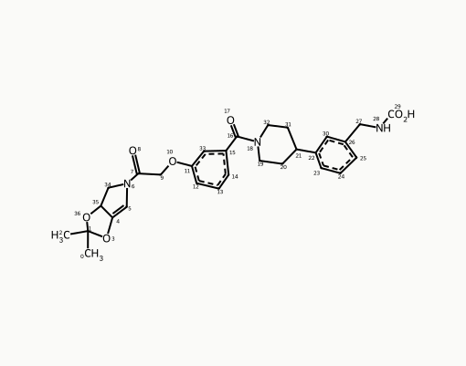 CC1(C)OC2=CN(C(=O)COc3cccc(C(=O)N4CCC(c5cccc(CNC(=O)O)c5)CC4)c3)CC2O1